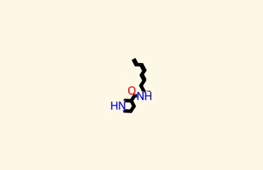 C=C/C=C\C=C\C[C@H](C)NC(=O)C1CCCNC1